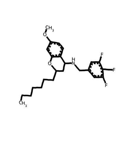 CCCCCCCC1CC(NCc2cc(F)c(F)c(F)c2)c2ccc(OC)cc2O1